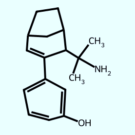 CC(C)(N)C1C(c2cccc(O)c2)=CC2CCC1C2